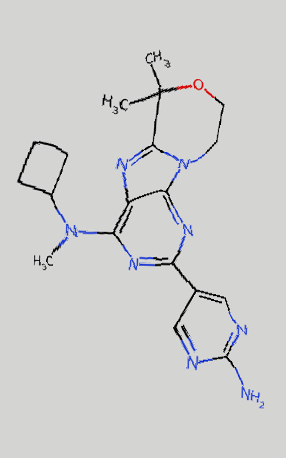 CN(c1nc(-c2cnc(N)nc2)nc2c1nc1n2CCOC1(C)C)C1CCC1